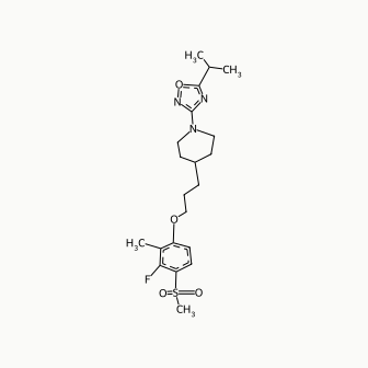 Cc1c(OCCCC2CCN(c3noc(C(C)C)n3)CC2)ccc(S(C)(=O)=O)c1F